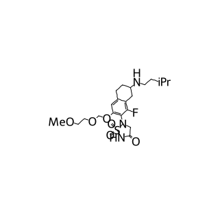 COCCOCOc1cc2c(c(F)c1N1CC(=O)NS1(=O)=O)CC(NCCC(C)C)CC2